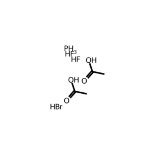 Br.CC(=O)O.CC(=O)O.F.F.P